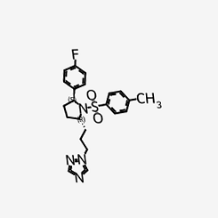 Cc1ccc(S(=O)(=O)N2[C@H](CCCn3cncn3)CC[C@H]2c2ccc(F)cc2)cc1